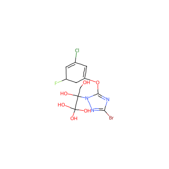 OCC(O)(n1nc(Br)nc1OC1=CC(Cl)=CC(F)C1)C(O)(O)O